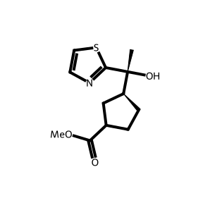 COC(=O)C1CC[C@H]([C@@](C)(O)c2nccs2)C1